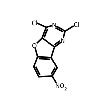 O=[N+]([O-])c1ccc2oc3c(Cl)nc(Cl)nc3c2c1